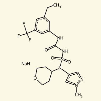 CCc1cc(NC(=O)NS(=O)(=O)N(c2cnn(C)c2)C2CCOCC2)cc(C(F)(F)F)c1.[NaH]